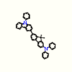 CC1(C)c2cc(-c3ccc4c(c3)c3ccccc3n4-c3ccccc3)ccc2-c2ccc(N(c3ccccc3)c3ccccc3)cc21